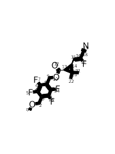 COCc1c(F)c(F)c(COC(=O)[C@@H]2[C@@H](/C=C(\F)C#N)C2(C)C)c(F)c1F